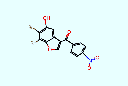 O=C(c1ccc([N+](=O)[O-])cc1)c1coc2c(Br)c(Br)c(O)cc12